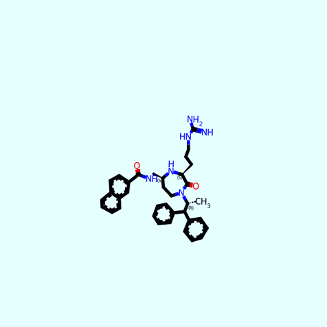 C[C@H](C(c1ccccc1)c1ccccc1)N1CC[C@@H](CNC(=O)c2ccc3ccccc3c2)N[C@@H](CCCNC(=N)N)C1=O